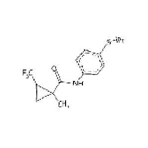 CC(C)Sc1ccc(NC(=O)C2(C)CC2C(F)(F)F)cc1